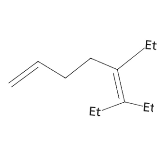 C=CCCC(CC)=C(CC)CC